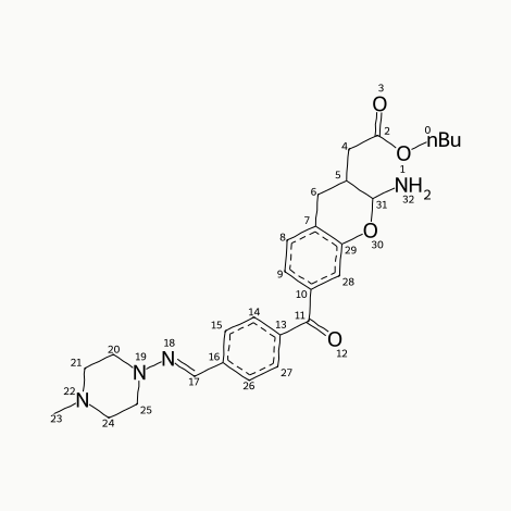 CCCCOC(=O)CC1Cc2ccc(C(=O)c3ccc(C=NN4CCN(C)CC4)cc3)cc2OC1N